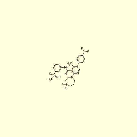 Cc1c(-c2ccc(C(F)F)cc2)cnc(N2CCCC(F)(F)CC2)c1C(=O)Nc1cccc(S(C)(=N)=O)c1